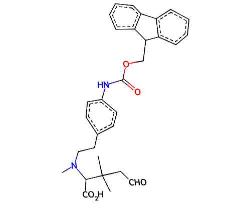 CN(CCc1ccc(NC(=O)OCC2c3ccccc3-c3ccccc32)cc1)C(C(=O)O)C(C)(C)CC=O